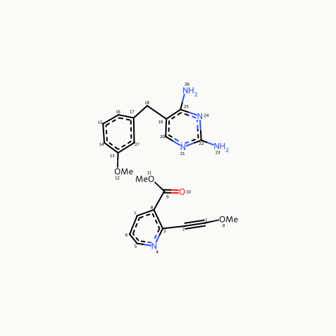 COC#Cc1ncccc1C(=O)OC.COc1cccc(Cc2cnc(N)nc2N)c1